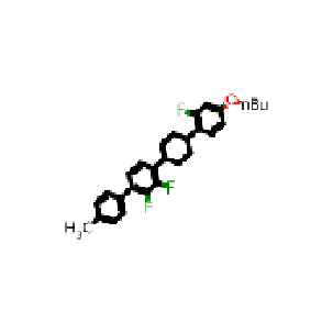 CCCCOc1ccc(C2CCC(c3ccc(-c4ccc(C)cc4)c(F)c3F)CC2)c(F)c1